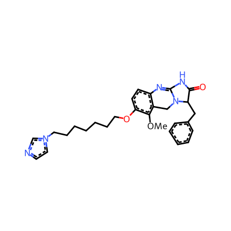 COc1c(OCCCCCCCn2ccnc2)ccc2c1CN1C(=N2)NC(=O)C1Cc1ccccc1